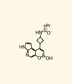 CCC[S+]([O-])NC1CC(C2=CB(O)Oc3cnc4[nH]ccc4c32)C1